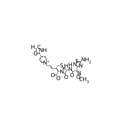 CNC(=O)c1cc[n+](CC=CC2=C(C(=O)[O-])N3C(=O)C(NC(=O)/C(=N\OC)c4nsc(N)n4)[C@@H]3SC2)cc1